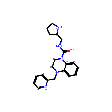 O=C(NCC1CCCN1)N1CCN(Cc2ccccn2)c2ccccc21